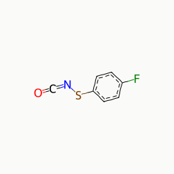 O=C=NSc1ccc(F)cc1